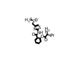 CC(C)[C@H](N)C(=O)Oc1ccccc1C(=O)Nc1nc(C[S+](C)[O-])cs1